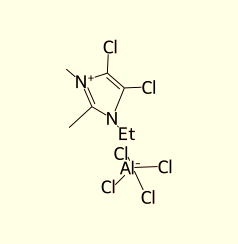 CCn1c(Cl)c(Cl)[n+](C)c1C.[Cl][Al-]([Cl])([Cl])[Cl]